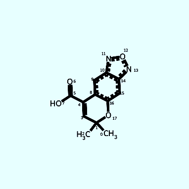 CC1(C)C=C(C(=O)O)c2cc3nonc3cc2O1